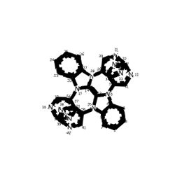 c1ccc2c(c1)N(c1cncnc1)C(=C1N(c3cncnc3)c3ccccc3N1c1cncnc1)N2c1cncnc1